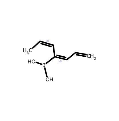 C=C/C=C(\C=C/C)B(O)O